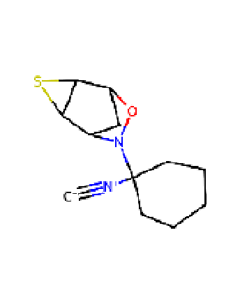 [C-]#[N+]C1(N2OC3CC2C2SC32)CCCCC1